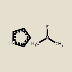 CN(C)F.c1cc[nH]c1